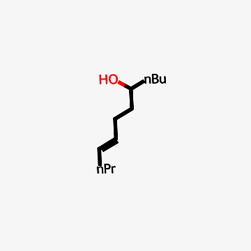 CCCC=CCCC(O)CCCC